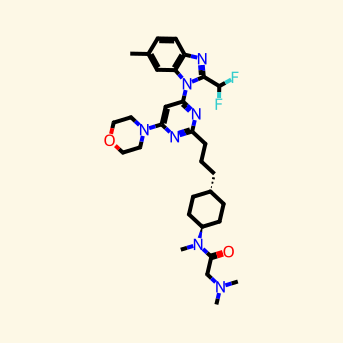 Cc1ccc2nc(C(F)F)n(-c3cc(N4CCOCC4)nc(CCC[C@H]4CC[C@H](N(C)C(=O)CN(C)C)CC4)n3)c2c1